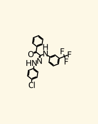 O=C(/C(=N\Nc1ccc(Cl)cc1)Nc1cccc(C(F)(F)F)c1)c1ccccc1